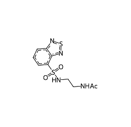 CC(=O)NCCNS(=O)(=O)c1cccc2nsnc12